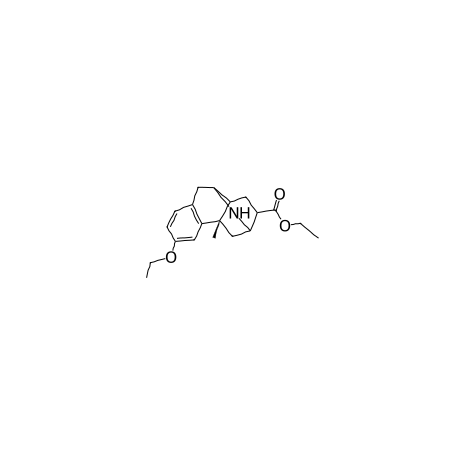 CCOC(=O)C1CC2C3Cc4ccc(OCC)cc4[C@@]2(C)CC1N3